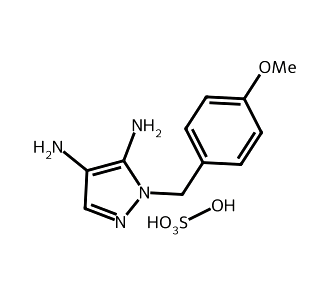 COc1ccc(Cn2ncc(N)c2N)cc1.O=S(=O)(O)O